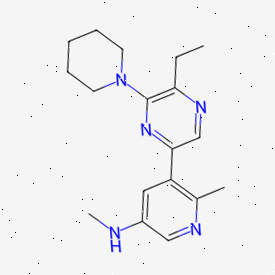 CCc1ncc(-c2cc(NC)cnc2C)nc1N1CCCCC1